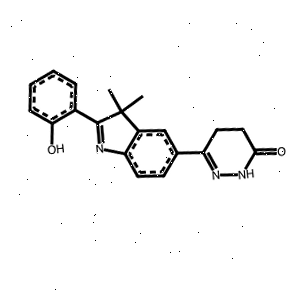 CC1(C)C(c2ccccc2O)=Nc2ccc(C3=NNC(=O)CC3)cc21